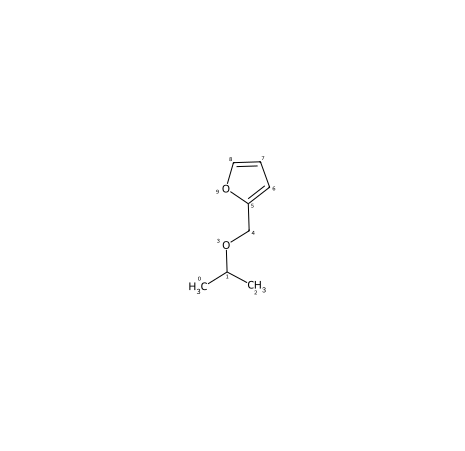 CC(C)OCc1ccco1